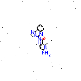 Cc1nc(N)ccc1C(=O)NC1=Nc2ccccc2C2=NCCN12